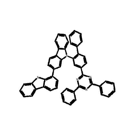 c1ccc(-c2nc(-c3ccccc3)nc(-c3ccc(-c4ccccc4)c(-n4c5ccccc5c5ccc(-c6cccc7c6sc6ccccc67)cc54)c3)n2)cc1